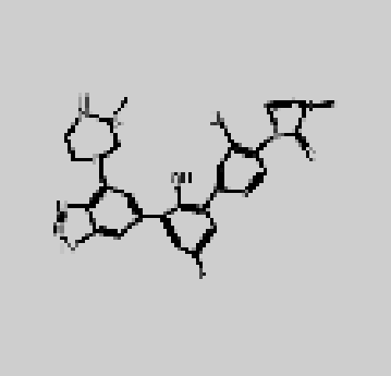 C[C@H]1CN(c2cc(-c3cc(F)cc(-c4ccc(-n5ccn(C)c5=O)c(Cl)c4)c3O)cc3[nH]nnc23)CCN1